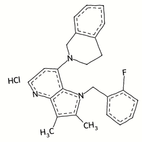 Cc1c(C)n(Cc2ccccc2F)c2c(N3CCc4ccccc4C3)ccnc12.Cl